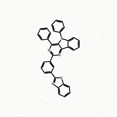 c1ccc(-c2nc(-c3cccc(-c4nc5ccccc5s4)c3)nc3c4ccccc4n(-c4ccccc4)c23)cc1